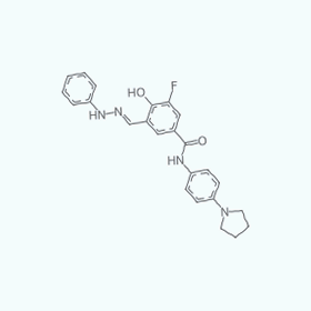 O=C(Nc1ccc(N2CCCC2)cc1)c1cc(F)c(O)c(/C=N/Nc2ccccc2)c1